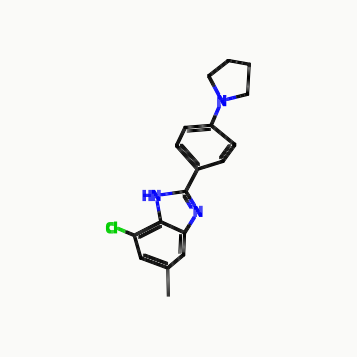 Cc1cc(Cl)c2[nH]c(-c3ccc(N4CCCC4)cc3)nc2c1